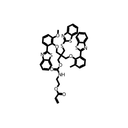 C=CC(=O)OCCNC(=O)OCC(COc1c(C)cccc1-c1nc2ccccc2s1)(COc1c(OC)cccc1-c1nc2ccccc2s1)CSc1nc2ccccc2s1